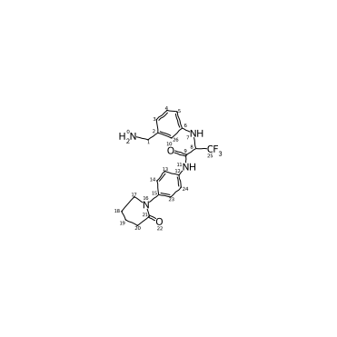 NCc1cccc(NC(C(=O)Nc2ccc(N3CCCCC3=O)cc2)C(F)(F)F)c1